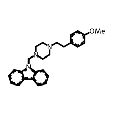 COc1ccc(CCN2CCN(Cn3c4ccccc4c4ccccc43)CC2)cc1